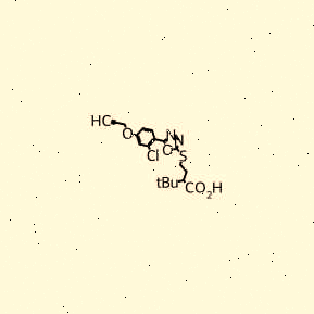 C#CCOc1ccc(-c2nnc(SCCC(C(=O)O)C(C)(C)C)o2)c(Cl)c1